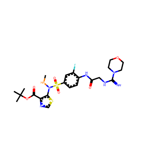 CPN(c1scnc1C(=O)OC(C)(C)C)S(=O)(=O)c1ccc(NC(=O)CNC(=N)N2CCOCC2)c(F)c1